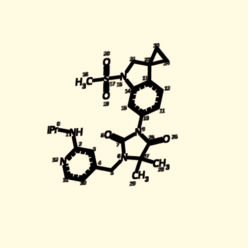 CC(C)Nc1cc(CN2C(=O)N(c3ccc4c(c3)N(S(C)(=O)=O)CC43CC3)C(=O)C2(C)C)ccn1